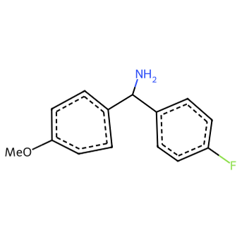 COc1ccc(C(N)c2ccc(F)cc2)cc1